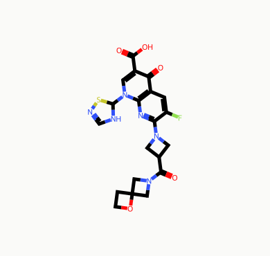 O=C(O)c1cn(C2NC=NS2)c2nc(N3CC(C(=O)N4CC5(CCO5)C4)C3)c(F)cc2c1=O